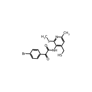 CSc1nc(C)cc(CS)c1NC(=O)C(=O)c1ccc(Br)cc1